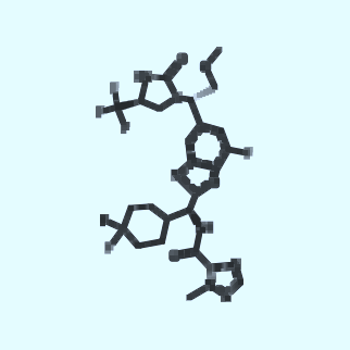 COC[C@H](c1cc(F)c2oc([C@@H](NC(=O)c3ncnn3C)C3CCC(F)(F)CC3)nc2c1)N1C[C@@H](C(F)(F)F)NC1=O